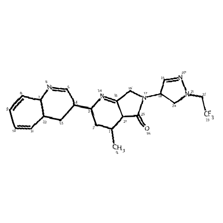 CC1CC(C2C=NC3C=CC=CC3C2)N=C2CN(C3C=NN(CC(F)(F)F)C3)C(=O)C21